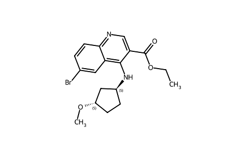 CCOC(=O)c1cnc2ccc(Br)cc2c1N[C@H]1CC[C@H](OC)C1